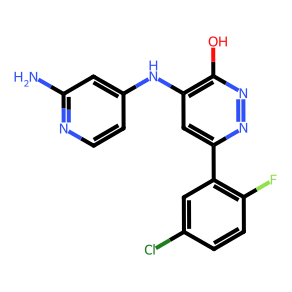 Nc1cc(Nc2cc(-c3cc(Cl)ccc3F)nnc2O)ccn1